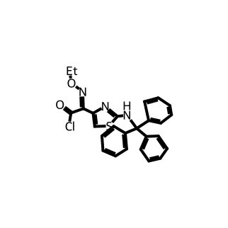 CCON=C(C(=O)Cl)c1csc(NC(c2ccccc2)(c2ccccc2)c2ccccc2)n1